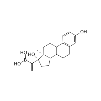 C=C(B(O)O)[C@]1(O)CCC2C3CCc4cc(O)ccc4C3CC[C@@]21C